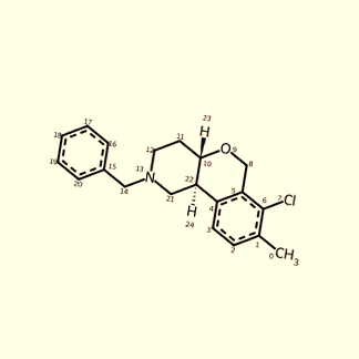 Cc1ccc2c(c1Cl)CO[C@H]1CCN(Cc3ccccc3)C[C@H]21